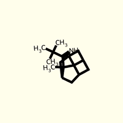 CC(C)(C)C(=N)C1(C)C2CC3CC4CC(C2)C341